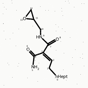 CCCCCCCCC=C(C(N)=O)C(=O)NCC1CO1